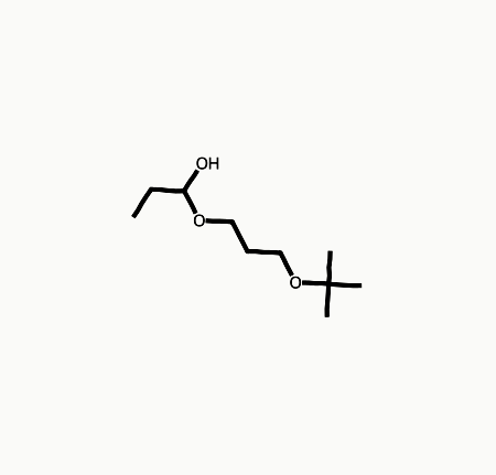 CCC(O)OCCCOC(C)(C)C